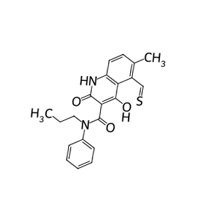 CCCN(C(=O)c1c(O)c2c(C=S)c(C)ccc2[nH]c1=O)c1ccccc1